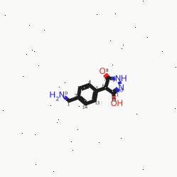 NCc1ccc(C2C(=O)NN=C2O)cc1